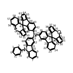 c1ccc(-n2c3ccccc3c3cc(N(c4ccc5c(c4)-c4ccccc4C54c5ccccc5Oc5ccccc54)c4ccc5c(c4)C4(c6ccccc6Sc6ccccc64)c4ccccc4-5)ccc32)cc1